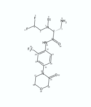 CCN(CC(F)F)[C@H](CN)C(=O)Nc1ccc(N2CCOCC2=O)cc1C(F)(F)F